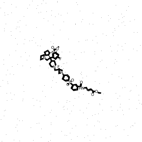 CCOC(=O)/C=C/CNC(=O)c1cccc(S(=O)(=O)c2ccc(N3CC(F)(CN4CCC(C(CN5CCC5)(c5cccc(F)c5)[C@H]5CCC[C@@H]5NC(=O)OC)CC4)C3)cc2)c1